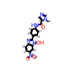 Cn1cncc1C(=O)Nc1ccc(-c2nc3ccc([N+](=O)[O-])cc3n2O)cc1